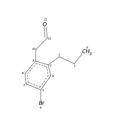 CCCc1cc(Br)ccc1CC=O